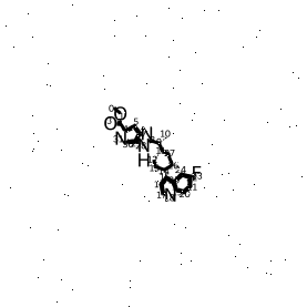 COC(=O)c1cc2nc([C@H](C)[C@H]3CC[C@@H](c4ccnc5ccc(F)cc54)CC3)[nH]c2cn1